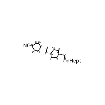 CCCCCCCC=C[C@H]1CC[C@H](CC[C@H]2CC[C@H](C#N)CC2)CC1